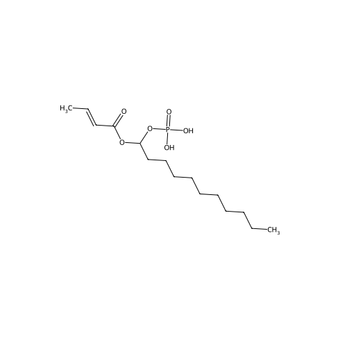 CC=CC(=O)OC(CCCCCCCCCC)OP(=O)(O)O